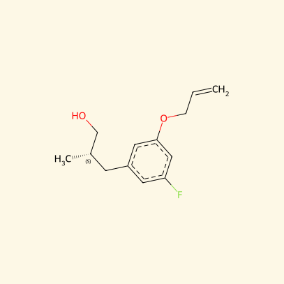 C=CCOc1cc(F)cc(C[C@H](C)CO)c1